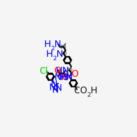 C[C@H](CN)C[C@H](N)c1ccc(C[C@H](NC(=O)C(=O)Nc2cc(Cl)ccc2-n2cnnn2)C(=O)Nc2ccc(C(=O)O)cc2)cc1